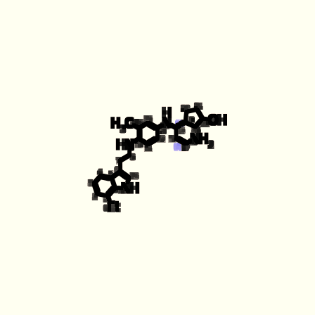 CCc1cccc2c(CCNc3ccc(NC(/C=C\N)=C4\CCC(O)C4)cc3C)c[nH]c12